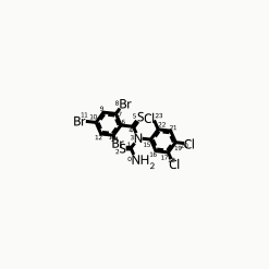 NC(=S)N(C(=S)c1c(Br)cc(Br)cc1Br)c1cc(Cl)c(Cl)cc1Cl